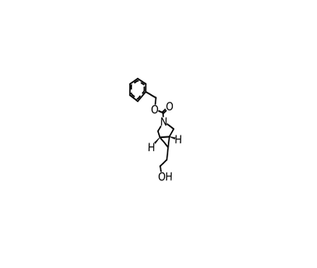 O=C(OCc1ccccc1)N1C[C@@H]2C(CCO)[C@@H]2C1